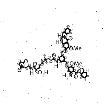 COc1cc(C(=O)N2c3ccccc3C[C@H]2C)c(N)cc1OCc1cc(COc2cc3c(cc2OC)C(=O)N2c4ccccc4C[C@H]2CN3)cc(NC(=O)CCC(C)(C)SSCCC(C(=O)NCCN2C(=O)C=CC2=O)S(=O)(=O)O)c1